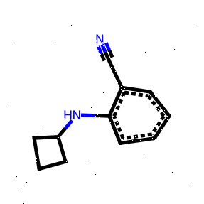 N#Cc1ccccc1NC1CCC1